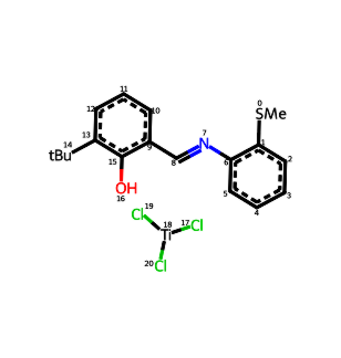 CSc1ccccc1N=Cc1cccc(C(C)(C)C)c1O.[Cl][Ti]([Cl])[Cl]